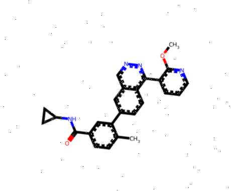 COc1ncccc1-c1nncc2cc(-c3cc(C(=O)NC4CC4)ccc3C)ccc12